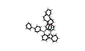 c1ccc(-c2ccc(N(c3ccc4ccc5c6ccccc6ccc5c4c3)c3cccc4c5ccccc5n(-c5ccccc5)c34)cc2)cc1